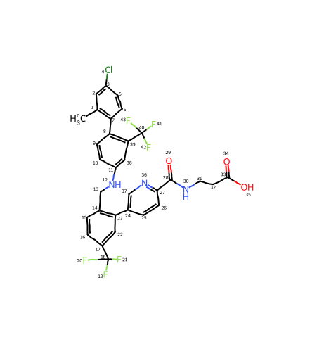 Cc1cc(Cl)ccc1-c1ccc(NCc2ccc(C(F)(F)F)cc2-c2ccc(C(=O)NCCC(=O)O)nc2)cc1C(F)(F)F